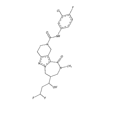 CN1CC(C(O)CC(F)F)Cn2nc3c(c2C1=O)CN(C(=O)Nc1ccc(F)c(Cl)c1)CC3